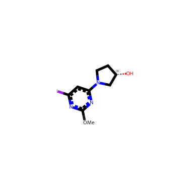 COc1nc(I)cc(N2CC[C@H](O)C2)n1